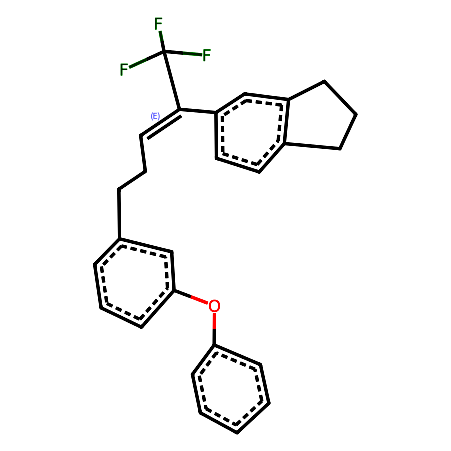 FC(F)(F)/C(=C/CCc1cccc(Oc2ccccc2)c1)c1ccc2c(c1)CCC2